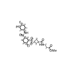 COC(=O)CCNC(=O)[C@H]1C[C@H](S(=O)(=O)c2cc(C(=O)Nc3ccc(F)c(F)c3)ccc2Cl)C1